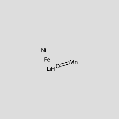 [Fe].[LiH].[Ni].[O]=[Mn]